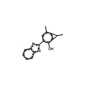 Cc1cc(-n2nc3ccccc3n2)c(O)c2c1C2C